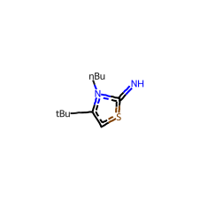 CCCCn1c(C(C)(C)C)csc1=N